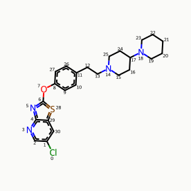 Clc1cnc2nc(Oc3ccc(CCN4CCC(N5CCCCC5)CC4)cc3)sc2c1